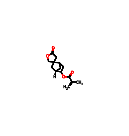 C=C(C)C(=O)OC1CC2C[C@H]1CC21COC(=O)C1